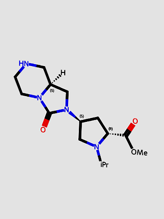 COC(=O)[C@H]1C[C@H](N2C[C@@H]3CNCCN3C2=O)CN1C(C)C